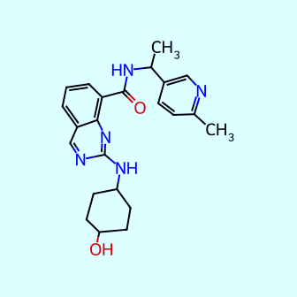 Cc1ccc(C(C)NC(=O)c2cccc3cnc(NC4CCC(O)CC4)nc23)cn1